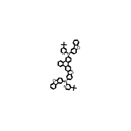 CC(C)(C)c1ccnc(N(c2ccc3oc4ccccc4c3c2)c2ccc3sc4cc5c6ccc(N(c7ccc8oc9ccccc9c8c7)c7cc(C(C)(C)C)ccn7)cc6c6ccccc6c5cc4c3c2)c1